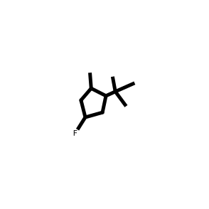 CC1CC(F)CC1C(C)(C)C